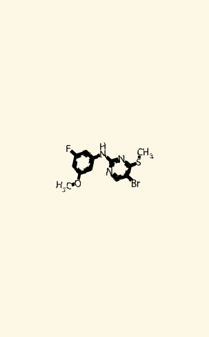 COc1cc(F)cc(Nc2ncc(Br)c(SC)n2)c1